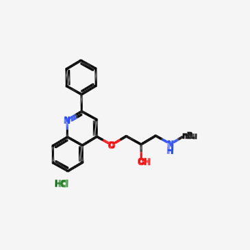 CCCCNCC(O)COc1cc(-c2ccccc2)nc2ccccc12.Cl